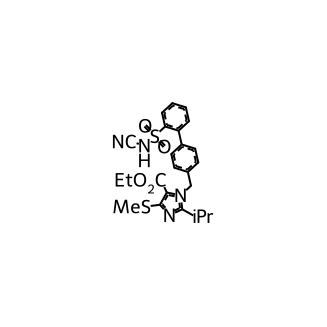 CCOC(=O)c1c(SC)nc(C(C)C)n1Cc1ccc(-c2ccccc2S(=O)(=O)NC#N)cc1